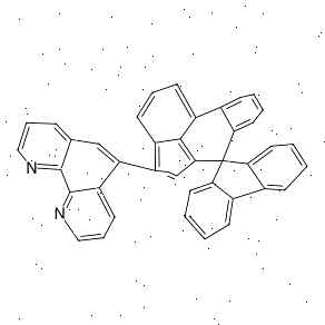 c1ccc2c(c1)-c1ccccc1C21c2ccccc2-c2cccc3c(-c4cc5cccnc5c5ncccc45)ccc1c23